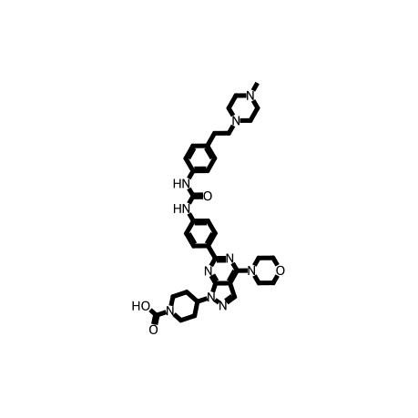 CN1CCN(CCc2ccc(NC(=O)Nc3ccc(-c4nc(N5CCOCC5)c5cnn(C6CCN(C(=O)O)CC6)c5n4)cc3)cc2)CC1